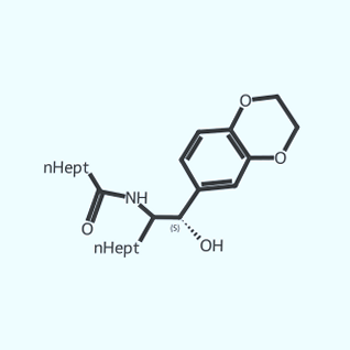 CCCCCCCC(=O)NC(CCCCCCC)[C@@H](O)c1ccc2c(c1)OCCO2